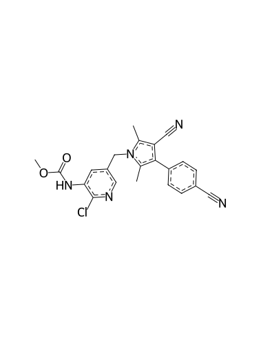 COC(=O)Nc1cc(Cn2c(C)c(C#N)c(-c3ccc(C#N)cc3)c2C)cnc1Cl